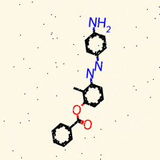 Cc1c(N=Nc2ccc(N)cc2)cccc1OC(=O)c1ccccc1